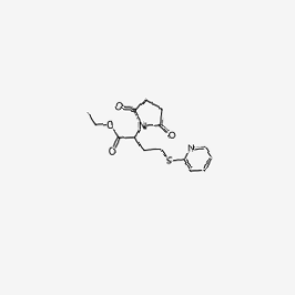 CCOC(=O)C(CCSc1ccccn1)N1C(=O)CCC1=O